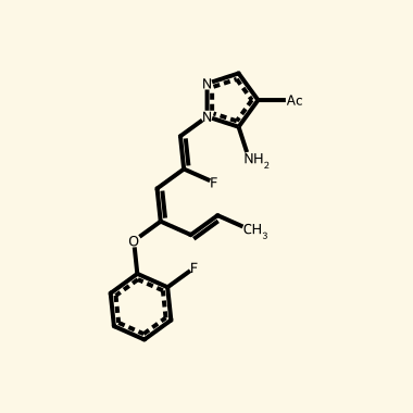 C/C=C/C(=C\C(F)=C\n1ncc(C(C)=O)c1N)Oc1ccccc1F